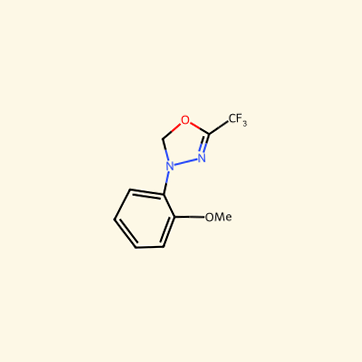 COc1ccccc1N1COC(C(F)(F)F)=N1